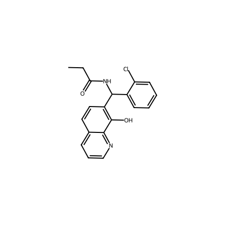 CCC(=O)NC(c1ccccc1Cl)c1ccc2cccnc2c1O